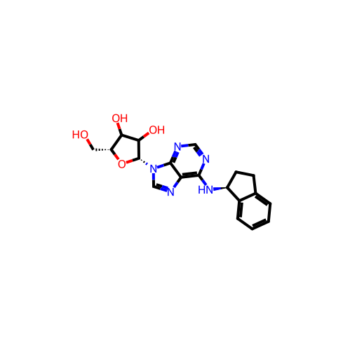 OC[C@H]1O[C@@H](n2cnc3c(N[C@H]4CCc5ccccc54)ncnc32)C(O)C1O